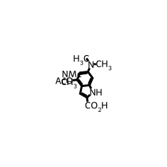 CC(=O)Oc1cc(N(C)C)cc2[nH]c(C(=O)O)cc12.CNC